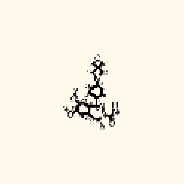 CNC(=O)N1N=C(c2ccc(N3CC4(COC4)C3)cc2)c2cc(OC)c(OC)cc2C[C@@H]1C